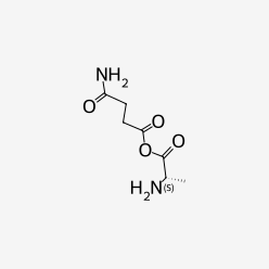 C[C@H](N)C(=O)OC(=O)CCC(N)=O